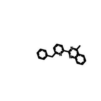 Cc1nc(-c2cccc(Cc3ccccc3)n2)nc2ccccc12